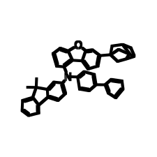 CC1(C)c2ccccc2-c2ccc(N(c3ccc(-c4ccccc4)cc3)c3cccc4oc5cc(C67CC8CC(C6)C(C8)C7)ccc5c34)cc21